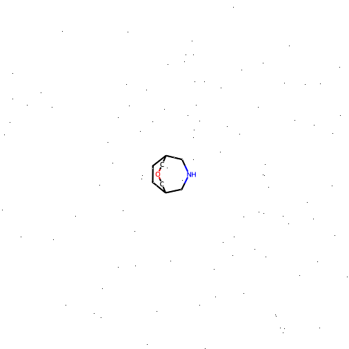 C1CC2CNCC1COC2